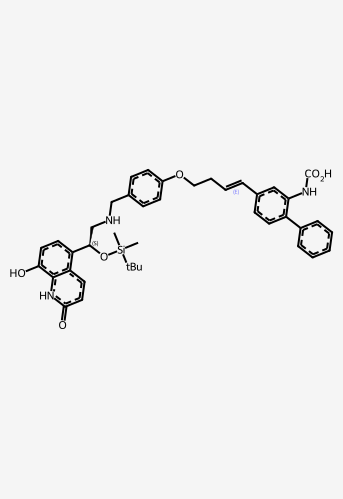 CC(C)(C)[Si](C)(C)O[C@H](CNCc1ccc(OCC/C=C/c2ccc(-c3ccccc3)c(NC(=O)O)c2)cc1)c1ccc(O)c2[nH]c(=O)ccc12